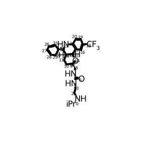 CC(C)NCCNC(=O)NC[C@H]1CC[C@@H]2[C@H](O1)c1cc(C(F)(F)F)ccc1N[C@H]2C1C=CC=CC1